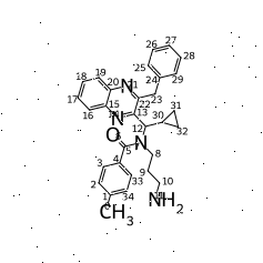 Cc1ccc(C(=O)N(CCCN)C(c2nc3ccccc3nc2Cc2ccccc2)C2CC2)cc1